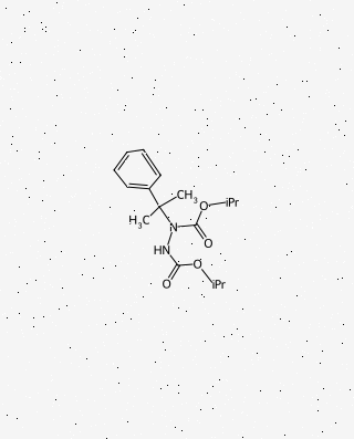 CC(C)OC(=O)NN(C(=O)OC(C)C)C(C)(C)c1ccccc1